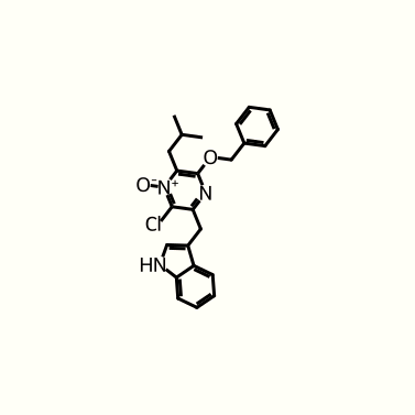 CC(C)Cc1c(OCc2ccccc2)nc(Cc2c[nH]c3ccccc23)c(Cl)[n+]1[O-]